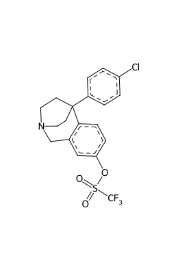 O=S(=O)(Oc1ccc2c(c1)CN1CCC2(c2ccc(Cl)cc2)CC1)C(F)(F)F